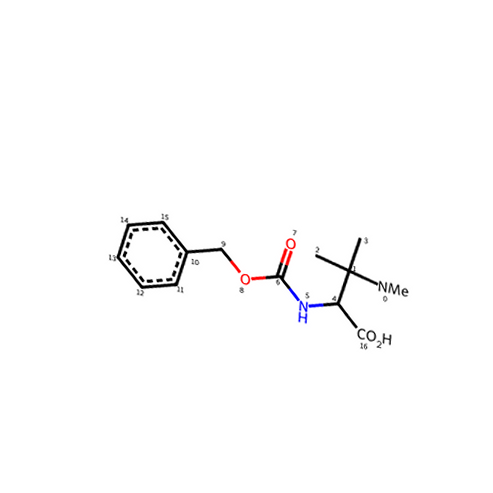 CNC(C)(C)C(NC(=O)OCc1ccccc1)C(=O)O